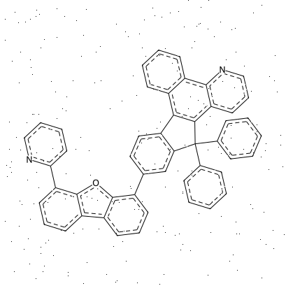 c1ccc(C2(c3ccccc3)c3cc(-c4cccc5c4oc4c(-c6ccccn6)cccc45)ccc3-c3c2c2cccnc2c2ccccc32)cc1